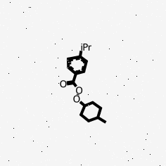 CC1CC[C](OOC(=O)c2ccc(C(C)C)cc2)CC1